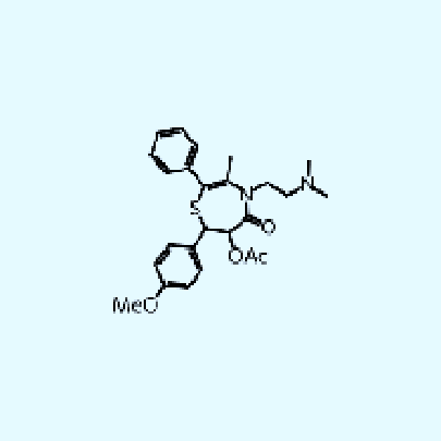 COc1ccc(C2SC(c3ccccc3)=C(C)N(CCN(C)C)C(=O)C2OC(C)=O)cc1